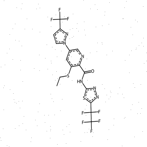 CCSc1cc(-n2ccc(C(F)(F)F)n2)cnc1C(=O)Nc1nnc(C(F)(F)C(F)(F)F)s1